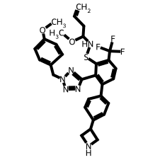 C=CCC(NSc1c(C(F)(F)F)ccc(-c2ccc(C3CNC3)cc2)c1-c1nnn(Cc2ccc(OC)cc2)n1)OC